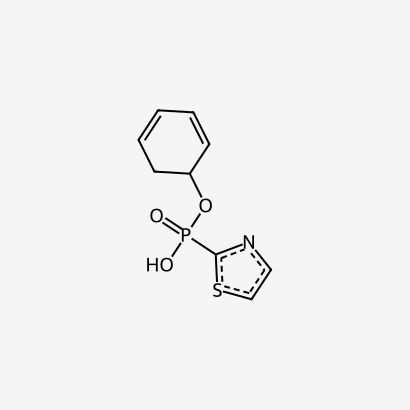 O=P(O)(OC1C=CC=CC1)c1nccs1